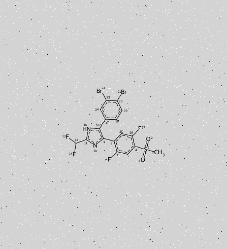 CS(=O)(=O)c1cc(F)c(-c2nc(C(F)F)[nH]c2-c2ccc(Br)c(Br)c2)cc1F